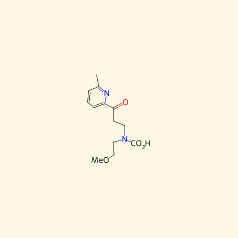 COCCN(CCC(=O)c1cccc(C)n1)C(=O)O